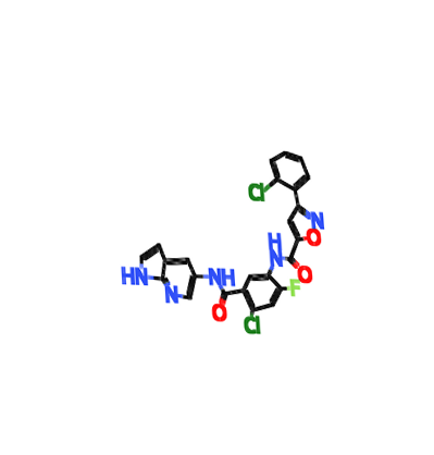 O=C(Nc1cc(C(=O)Nc2cnc3[nH]ccc3c2)c(Cl)cc1F)c1cc(-c2ccccc2Cl)no1